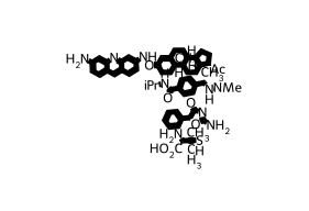 CC(=O)[C@H]1CC[C@H]2[C@@H]3CCC4=CC(=O)CC[C@]4(C)[C@H]3CC[C@]12C.CC(C)(S)[C@@H](N)C(=O)O.CNNCc1ccc(C(=O)NC(C)C)cc1.NC1=NC(=O)C(c2ccccc2)O1.Nc1ccc2cc3ccc(N)cc3nc2c1